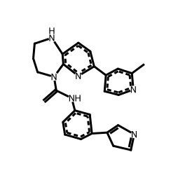 C=C(Nc1cccc(C2=CN=CC2)c1)N1CCCNc2ccc(-c3ccnc(C)c3)nc21